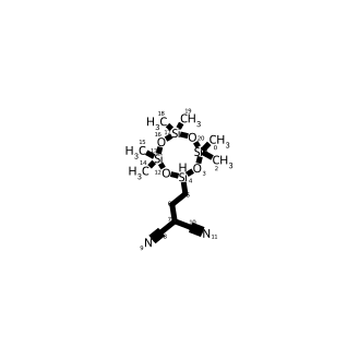 C[Si]1(C)O[SiH](CCC(C#N)C#N)O[Si](C)(C)O[Si](C)(C)O1